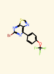 FC(F)(F)Oc1ccc(-c2nc(Br)nc3scnc23)cc1